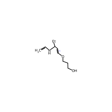 C=CNC(/C=C/OCCCO)CC